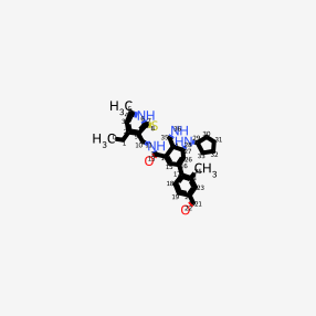 CCc1cc(C)[nH]c(=S)c1CNC(=O)C1=CC(c2ccc(C=O)cc2C)=CC(NC2CCCC2)C1C=N